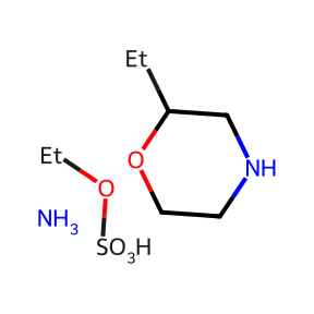 CCC1CNCCO1.CCOS(=O)(=O)O.N